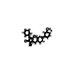 Cc1cccc(N2CCN(Cc3c(Br)c(=O)n(-c4ccccc4)n3C)CC2)c1